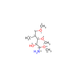 COCC(C)C(OC)C(O)C(N)OC